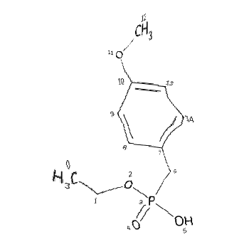 CCOP(=O)(O)Cc1ccc(OC)cc1